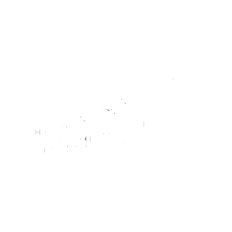 CCOC(=O)c1c(I)c(-c2ccc(OC3CC3)cc2)nn1[C@@H]1CCCN(C(=O)OC(C)(C)C)C1